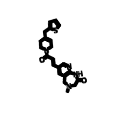 CN1CC(=O)Nc2ncc(C=CC(=O)N3CC=C(Cc4cccs4)CC3)cc2C1